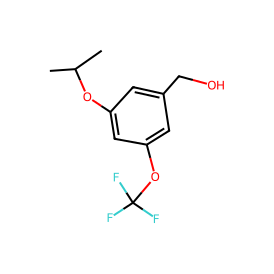 CC(C)Oc1cc(CO)cc(OC(F)(F)F)c1